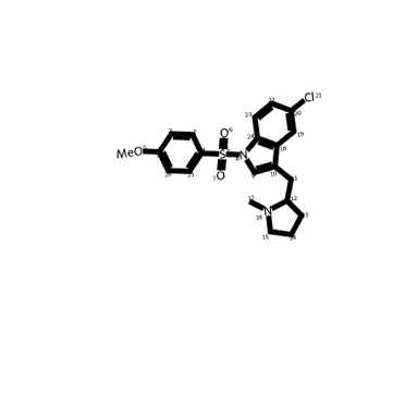 COc1ccc(S(=O)(=O)n2cc(CC3CCCN3C)c3cc(Cl)ccc32)cc1